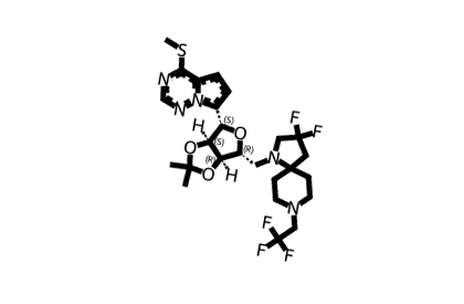 CSc1ncnn2c([C@@H]3O[C@H](CN4CC(F)(F)CC45CCN(CC(F)(F)F)CC5)[C@H]4OC(C)(C)O[C@H]43)ccc12